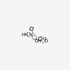 OC1(c2ccc3c(c2)CCOO3)CCC([N+]2(Cc3ccccc3)CCNCC2)CC1